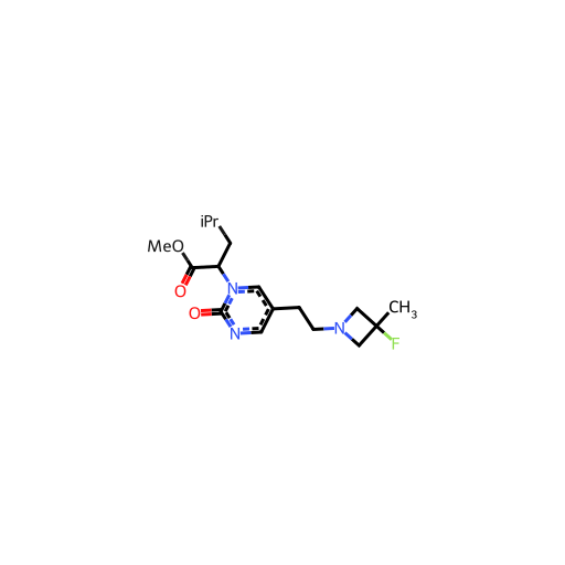 COC(=O)C(CC(C)C)n1cc(CCN2CC(C)(F)C2)cnc1=O